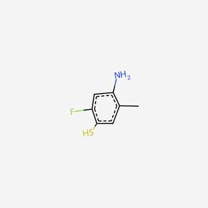 Cc1cc(S)c(F)cc1N